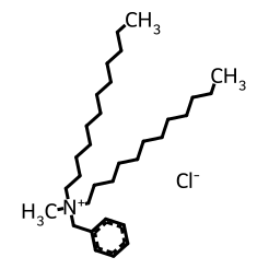 CCCCCCCCCCCC[N+](C)(CCCCCCCCCCCC)Cc1ccccc1.[Cl-]